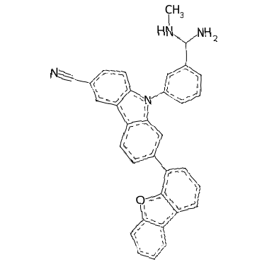 CNC(N)c1cccc(-n2c3ccc(C#N)cc3c3ccc(-c4cccc5c4oc4ccccc45)cc32)c1